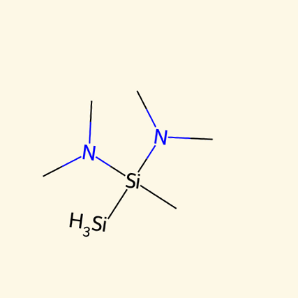 CN(C)[Si](C)([SiH3])N(C)C